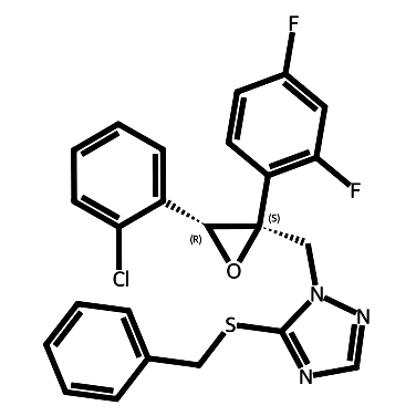 Fc1ccc([C@@]2(Cn3ncnc3SCc3ccccc3)O[C@@H]2c2ccccc2Cl)c(F)c1